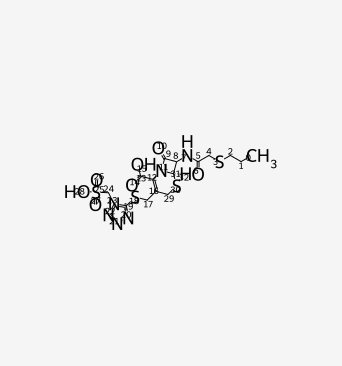 CCCSCC(=O)NC1C(=O)N2C(C(=O)O)=C(CSc3nnnn3CS(=O)(=O)O)CS[C@H]12